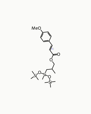 COc1ccc(/C=C/C(=O)OCC(C)C[Si](C)(O[Si](C)(C)C)O[Si](C)(C)C)cc1